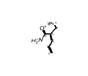 C=CC=C(CC(C)C)C(N)=O